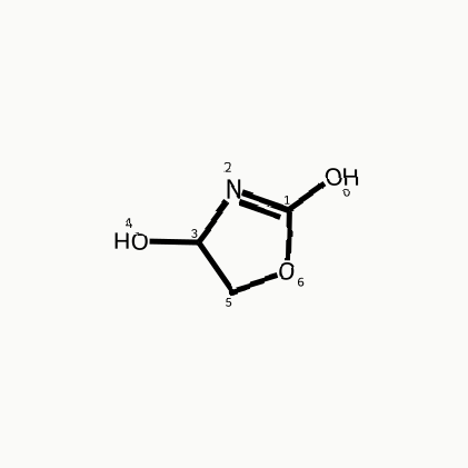 OC1=NC(O)CO1